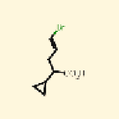 O=C(O)C(CC=CBr)C1CC1